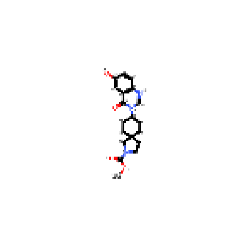 CC(C)(C)OC(=O)N1CCC2(CCC(n3cnc4ccc(O)cc4c3=O)CC2)C1